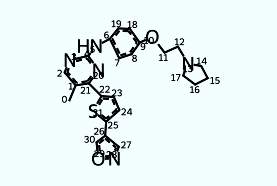 Cc1cnc(Nc2ccc(OCCN3CCCC3)cc2)nc1-c1ccc(-c2cnoc2)s1